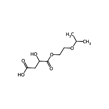 CC(C)OCCOC(=O)C(O)CC(=O)O